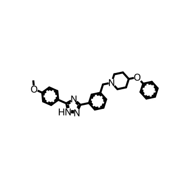 COc1ccc(-c2nc(-c3cccc(CN4CCC(Oc5ccccc5)CC4)c3)n[nH]2)cc1